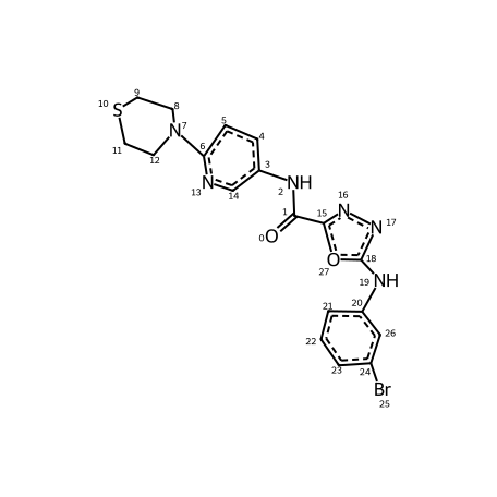 O=C(Nc1ccc(N2CCSCC2)nc1)c1nnc(Nc2cccc(Br)c2)o1